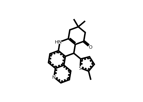 Cc1ccc(C2C3=C(CC(C)(C)CC3=O)Nc3ccc4ncccc4c32)s1